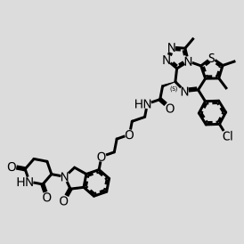 Cc1sc2c(c1C)C(c1ccc(Cl)cc1)=N[C@@H](CC(=O)NCCOCCOc1cccc3c1CN(C1CCC(=O)NC1=O)C3=O)c1nnc(C)n1-2